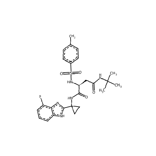 Cc1ccc(S(=O)(=O)N[C@@H](CC(=O)NC(C)(C)C)C(=O)NC2(c3nc4c(F)cccc4[nH]3)CC2)cc1